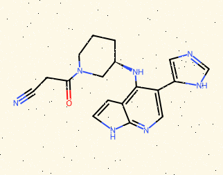 N#CCC(=O)N1CCC[C@@H](Nc2c(-c3cnc[nH]3)cnc3[nH]ccc23)C1